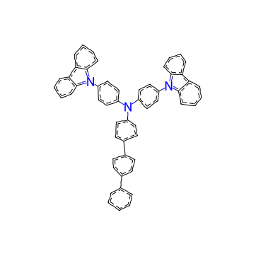 c1ccc(-c2ccc(-c3ccc(N(c4ccc(-n5c6ccccc6c6ccccc65)cc4)c4ccc(-n5c6ccccc6c6ccccc65)cc4)cc3)cc2)cc1